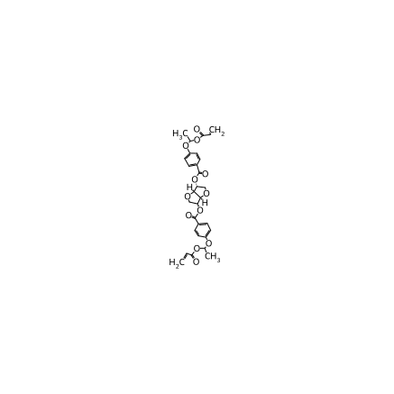 C=CC(=O)OC(C)Oc1ccc(C(=O)O[C@H]2CO[C@H]3[C@@H]2OC[C@H]3OC(=O)c2ccc(OC(C)OC(=O)C=C)cc2)cc1